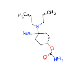 C=CCN(CC=C)C1(C#N)CCC(OC(N)=O)CC1